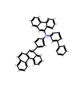 c1ccc(-c2cccc(N(c3ccc(-c4cc5ccc6ccccc6c5c5ccccc45)cc3)c3cc4ccccc4c4ccccc34)c2)cc1